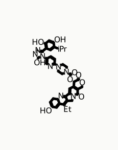 CCC1=C2Cn3c(cc4c(c3=O)COC(=O)[C@H]4OC(=O)N3CCN(c4ccc(-n5c(O)nnc5-c5cc(C(C)C)c(O)cc5O)cn4)CC3)C2=NC2CC=C(O)C=C12